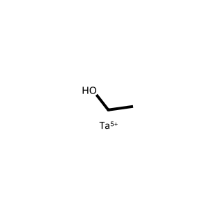 CCO.[Ta+5]